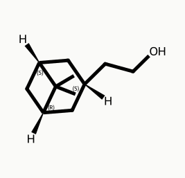 CC1(C)[C@@H]2C[C@@H](CCO)C[C@H]1C2